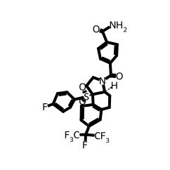 NC(=O)c1ccc(C(=O)N2CC[C@]3(S(=O)(=O)c4ccc(F)cc4)c4ccc(C(F)(C(F)(F)F)C(F)(F)F)cc4CC[C@H]23)cc1